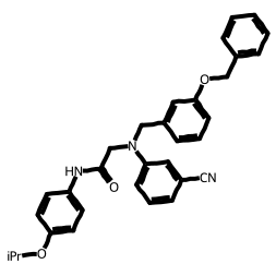 CC(C)Oc1ccc(NC(=O)CN(Cc2cccc(OCc3ccccc3)c2)c2cccc(C#N)c2)cc1